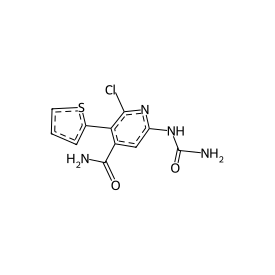 NC(=O)Nc1cc(C(N)=O)c(-c2cccs2)c(Cl)n1